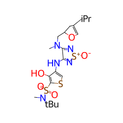 CC(C)C1=COC(CN(C)c2n[s+]([O-])nc2Nc2csc(S(=O)(=O)N(C)C(C)(C)C)c2O)C1